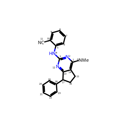 CNc1nc(Nc2ccccc2C#N)nc2c1CCC2c1ccccc1